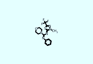 Cn1nc(C(F)(F)F)sc1=NC(=Nc1ccccc1)N1CCOCC1